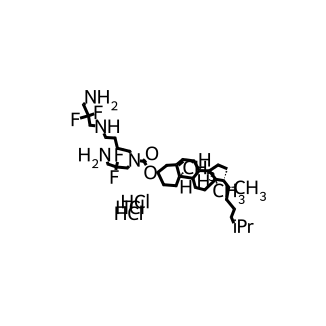 CC(C)CCC[C@@H](C)[C@H]1CC[C@H]2[C@@H]3CC=C4C[C@@H](OC(=O)N(CCCCNCC(F)(F)CN)CC(F)(F)CN)CC[C@]4(C)[C@H]3CC[C@]12C.Cl.Cl.Cl